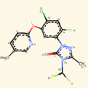 COc1ccc(Oc2cc(-n3nc(C)n(C(F)F)c3=O)c(F)cc2Cl)nc1